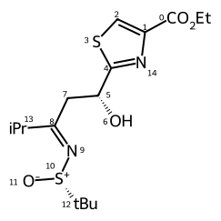 CCOC(=O)c1csc([C@H](O)CC(=N[S@@+]([O-])C(C)(C)C)C(C)C)n1